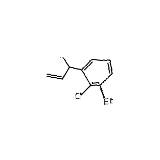 [CH2]C(C=C)c1cccc(CC)c1Cl